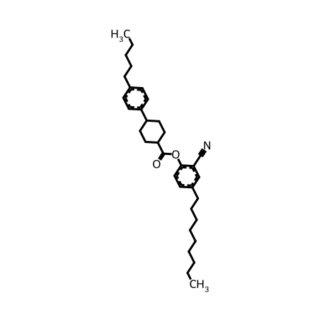 CCCCCCCCCc1ccc(OC(=O)C2CCC(c3ccc(CCCCC)cc3)CC2)c(C#N)c1